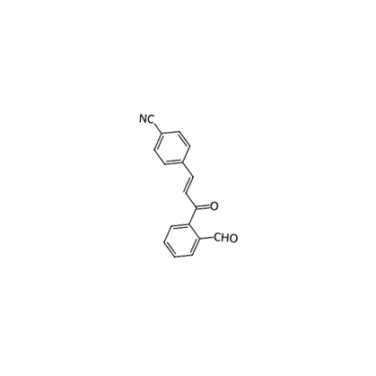 N#Cc1ccc(/C=C/C(=O)c2ccccc2C=O)cc1